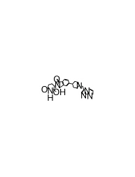 O=C1CCC(N2Cc3cc(C4CCN(Cc5cnc6ncccn56)CC4)ccc3C2=O)C(O)N1